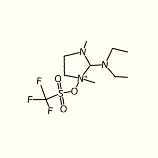 CCN(CC)C1N(C)CC[N+]1(C)OS(=O)(=O)C(F)(F)F